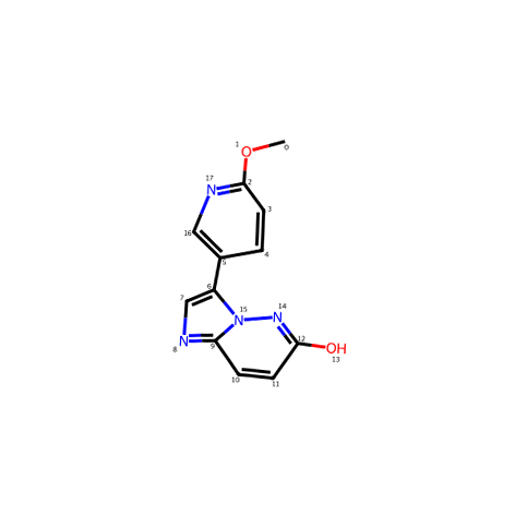 COc1ccc(-c2cnc3ccc(O)nn23)cn1